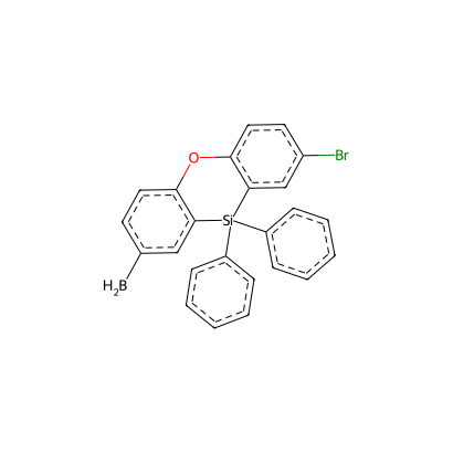 Bc1ccc2c(c1)[Si](c1ccccc1)(c1ccccc1)c1cc(Br)ccc1O2